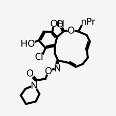 CCCC1C/C=C/CC/C=C/C(=NOCC(=O)N2CCCCC2)Cc2c(Cl)c(O)cc(O)c2C(=O)O1